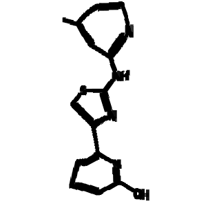 Cc1ccnc(Nc2nc(-c3cccc(O)n3)cs2)c1